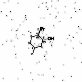 CC1CC[C@@H](C(C)C)[C@H](O)C1